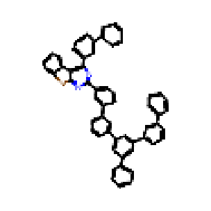 c1ccc(-c2cccc(-c3cc(-c4ccccc4)cc(-c4cccc(-c5cccc(-c6nc(-c7cccc(-c8ccccc8)c7)c7c(n6)sc6ccccc67)c5)c4)c3)c2)cc1